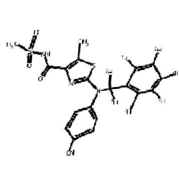 [2H]c1c([2H])c([2H])c(C([2H])([2H])N(c2ccc(C#N)cc2)c2nc(C(=O)NS(C)(=O)=O)c(C)s2)c([2H])c1[2H]